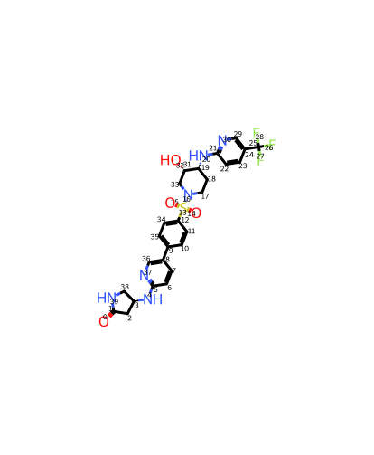 O=C1C[C@H](Nc2ccc(-c3ccc(S(=O)(=O)N4CC[C@@H](Nc5ccc(C(F)(F)F)cn5)[C@@H](O)C4)cc3)cn2)CN1